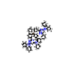 c1ccc(-c2cc(-n3c4ccccc4c4ccccc43)nc(-c3cccc(S(c4ccccc4)(c4ccccc4)c4cccc(-c5nc(-n6c7ccccc7c7ccccc76)cc(-n6c7ccccc7c7ccccc76)n5)c4)c3)n2)cc1